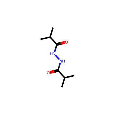 CC(C)C(=O)NNC(=O)C(C)C